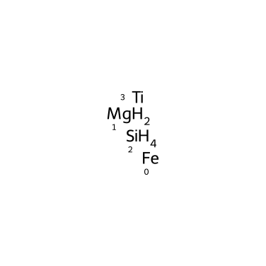 [Fe].[MgH2].[SiH4].[Ti]